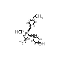 CCc1ccc(C#Cc2cnc(N)nc2N[C@H]2CC[C@H](O)CC2)cc1.Cl